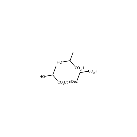 CC(O)C(=O)O.CCCCCCCCCCCC(=O)O.CCOC(=O)C(C)O